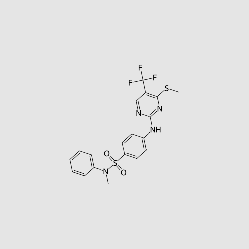 CSc1nc(Nc2ccc(S(=O)(=O)N(C)c3ccccc3)cc2)ncc1C(F)(F)F